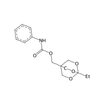 CCC12OCC(COC(=O)Nc3ccccc3)(CO1)CO2